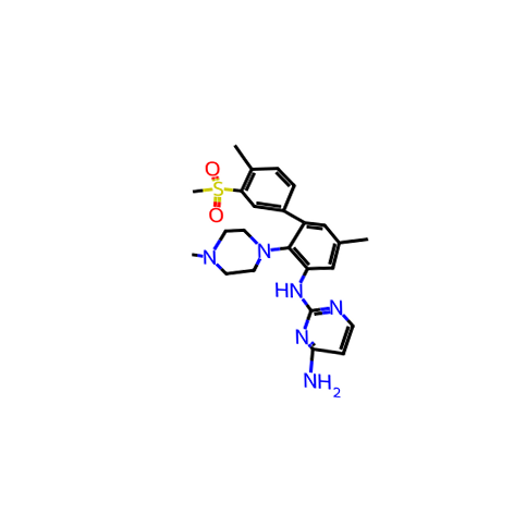 Cc1cc(Nc2nccc(N)n2)c(N2CCN(C)CC2)c(-c2ccc(C)c(S(C)(=O)=O)c2)c1